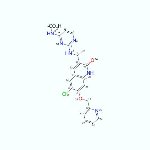 CC(Nc1nccc(NC(=O)O)n1)c1cc2cc(Cl)c(OCc3ccccn3)cc2[nH]c1=O